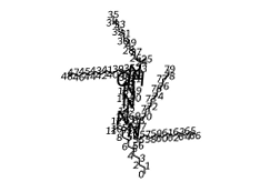 CCCCCCCCCCC(C)CN(CCN1CCN(CCN(CC(C)CCCCCCCCCC)CC(O)CCCCCCCCCC)CC1)CCN(CC(C)CCCCCCCCCC)CC(C)CCCCCCCCCC